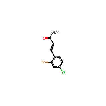 COC(=O)C=Cc1ccc(Cl)cc1Br